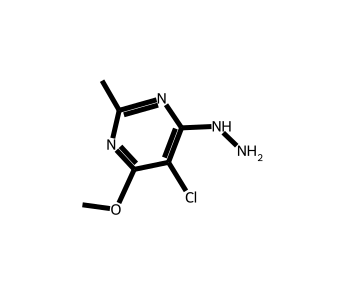 COc1nc(C)nc(NN)c1Cl